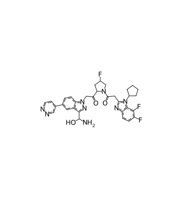 NC(O)c1nn(CC(=O)C2CC(F)CN2C(=O)Cc2nc3ccc(F)c(F)c3n2C2CCCC2)c2ccc(-c3ccnnc3)cc12